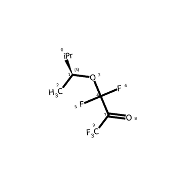 CC(C)[C@H](C)OC(F)(F)C(=O)C(F)(F)F